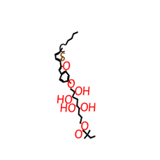 CCCCCCc1ccc(-c2cc3ccc(OCC(O)C(O)CC(O)C(O)CCCOC(=O)C(C)(C)CC)cc3o2)s1